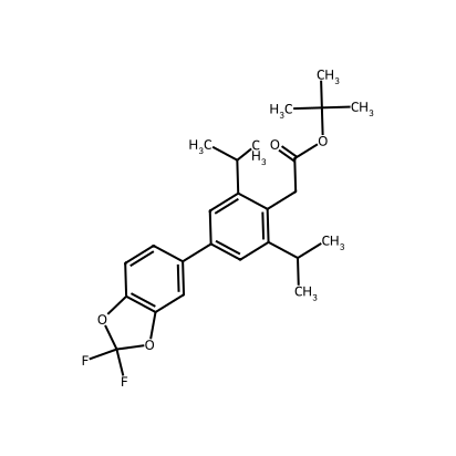 CC(C)c1cc(-c2ccc3c(c2)OC(F)(F)O3)cc(C(C)C)c1CC(=O)OC(C)(C)C